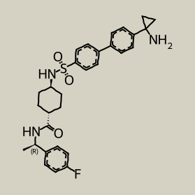 C[C@@H](NC(=O)[C@H]1CC[C@H](NS(=O)(=O)c2ccc(-c3ccc(C4(N)CC4)cc3)cc2)CC1)c1ccc(F)cc1